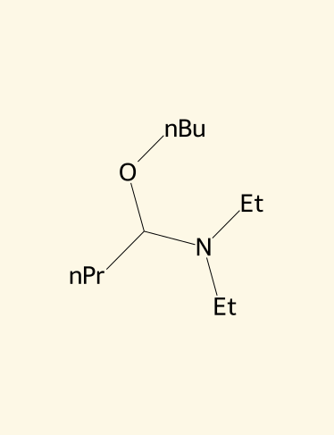 [CH2]CCC(OCCCC)N(CC)CC